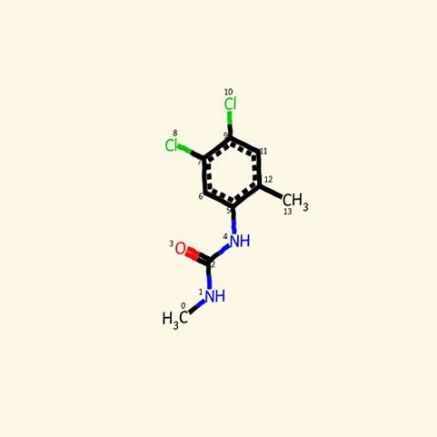 CNC(=O)Nc1cc(Cl)c(Cl)cc1C